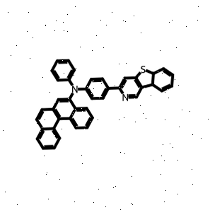 C1=CC2Sc3cc(-c4ccc(N(c5ccccc5)c5cc6ccc7ccccc7c6c6ccccc56)cc4)ncc3C2C=C1